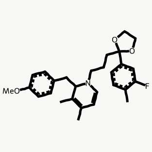 COc1ccc(CC2C(C)=C(C)C=CN2CCCC2(c3ccc(C)c(F)c3)OCCO2)cc1